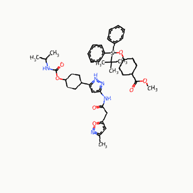 COC(=O)C1CCC(O[Si](c2ccccc2)(c2ccccc2)C(C)(C)C)CC1.Cc1cc(CC(=O)Nc2cc(C3CCC(OC(=O)NC(C)C)CC3)[nH]n2)on1